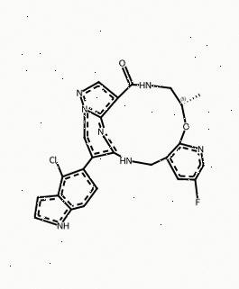 C[C@H]1CNC(=O)c2cnn3cc(-c4ccc5[nH]ccc5c4Cl)c(nc23)NCc2cc(F)cnc2O1